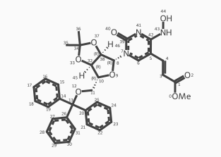 COC(=O)C=Cc1cn([C@@H]2O[C@H](COC(c3ccccc3)(c3ccccc3)c3ccccc3)[C@H]3OC(C)(C)O[C@H]32)c(=O)nc1NO